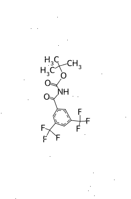 CC(C)(C)OC(=O)NC(=O)c1cc(C(F)(F)F)cc(C(F)(F)F)c1